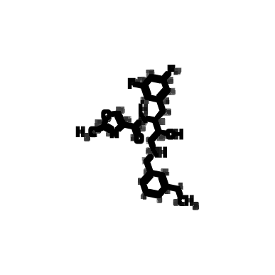 CCc1cccc(CNC[C@H](O)[C@H](Cc2cc(F)cc(F)c2)NC(=O)c2coc(C)n2)c1